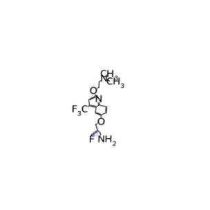 CN(C)CCOc1cc(C(F)(F)F)c2cc(OC/C(=C/F)CN)ccc2n1